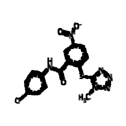 Cn1nnnc1Sc1ccc([N+](=O)[O-])cc1C(=O)Nc1ccc(Cl)cc1